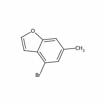 Cc1cc(Br)c2ccoc2c1